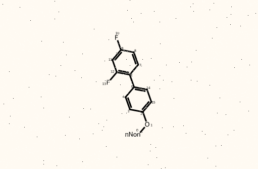 CCCCCCCCCOc1ccc(-c2ccc(F)cc2F)cc1